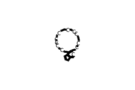 [CH]1C=Cc2c1ccc1c2CCCCCCCCCCCCCCCCCCC1